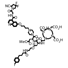 COC(=O)C[C@H](NC(=O)[C@H](CCOCCNC(=O)CCCc1ccc(I)cc1)NC(=O)CN1CCN(CC(=O)O)CCN(CC(=O)O)CCN(CC(=O)O)CC1)C(=O)N1CCN(CCCCOc2ccc3nccc(C(=O)NCC(=O)N4CC(F)(F)C[C@@H]4C#N)c3c2)CC1